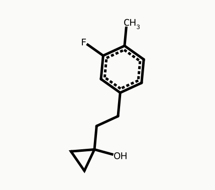 Cc1ccc(CCC2(O)CC2)cc1F